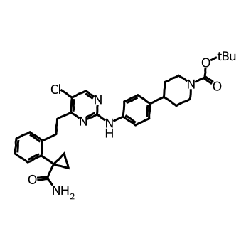 CC(C)(C)OC(=O)N1CCC(c2ccc(Nc3ncc(Cl)c(CCc4ccccc4C4(C(N)=O)CC4)n3)cc2)CC1